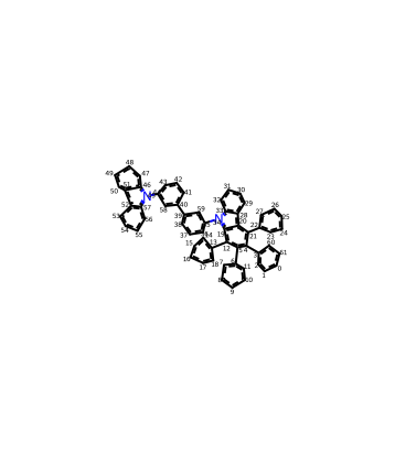 c1ccc(-c2c(-c3ccccc3)c(-c3ccccc3)c3c(c2-c2ccccc2)c2ccccc2n3-c2cccc(-c3cccc(-n4c5ccccc5c5ccccc54)c3)c2)cc1